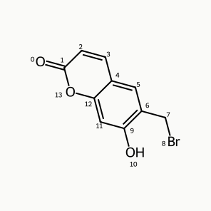 O=c1ccc2cc(CBr)c(O)cc2o1